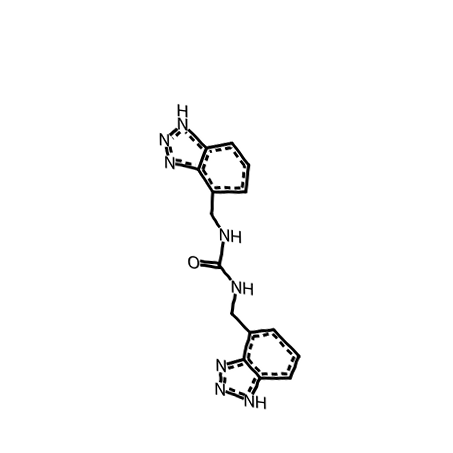 O=C(NCc1cccc2[nH]nnc12)NCc1cccc2[nH]nnc12